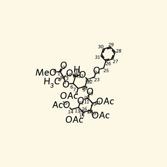 COC(=O)[C@]1(C)OC2C(OC(C)=O)[C@H](O[C@@H]3OC(COC(C)=O)[C@H](OC(C)=O)[C@H](OC(C)=O)C3OC(C)=O)[C@H](COCc3ccccc3)O[C@@H]2O1